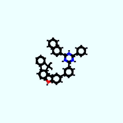 CC1(C)c2ccccc2-c2ccc3oc4ccc(-c5cccc(-c6nc(-c7ccccc7)nc(-c7ccc8ccccc8c7)n6)c5)cc4c3c21